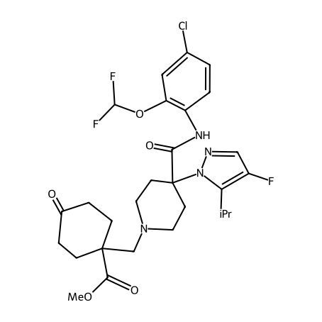 COC(=O)C1(CN2CCC(C(=O)Nc3ccc(Cl)cc3OC(F)F)(n3ncc(F)c3C(C)C)CC2)CCC(=O)CC1